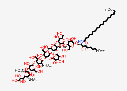 CCCCCCCC/C=C\CCCCCCCCCCCCCCCC(=O)N[C@@H](CO[C@@H]1OC(CO)[C@@H](O[C@@H]2OC(CO)[C@H](O)[C@H](O[C@@H]3OC(CO)[C@@H](O[C@@H]4OC(CO)[C@H](O)[C@H](O[C@@H]5OC(CO)[C@@H](O[C@@H]6OC(CO)[C@H](O)[C@H](O[C@]7(C(=O)O)CC(O)[C@@H](NC(C)=O)C([C@H](O)[C@H](O)CO)O7)C6O)[C@H](O)C5NC(C)=O)C4O)[C@H](O[C@H]4OC(C)[C@@H](O)C(O)[C@@H]4O)C3NC(C)=O)C2O)[C@H](O)C1O)[C@H](O)/C=C/CCCCCCCCCCCCC